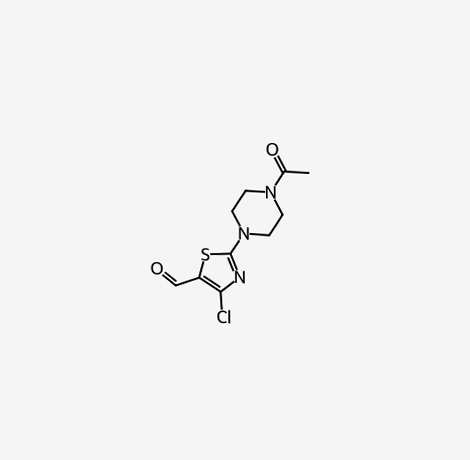 CC(=O)N1CCN(c2nc(Cl)c(C=O)s2)CC1